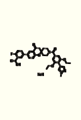 CCOc1cc(C(=O)N2CCC3(CC2)CC(=O)c2cc(-c4ccc(F)c(C(=O)O)c4)ccc2O3)cc(OCC)c1-c1cnn(C)c1.[NaH]